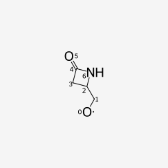 [O]CC1CC(=O)N1